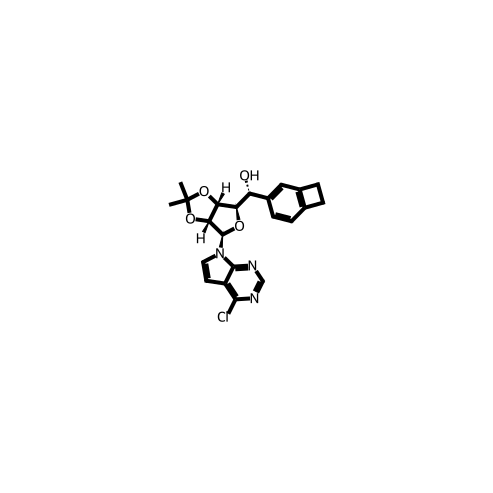 CC1(C)O[C@H]2[C@@H](O1)[C@H](n1ccc3c(Cl)ncnc31)O[C@@H]2[C@H](O)c1ccc2c(c1)CC2